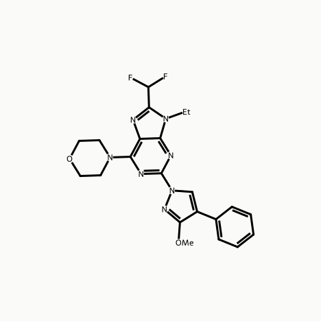 CCn1c(C(F)F)nc2c(N3CCOCC3)nc(-n3cc(-c4ccccc4)c(OC)n3)nc21